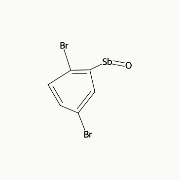 [O]=[Sb][c]1cc(Br)ccc1Br